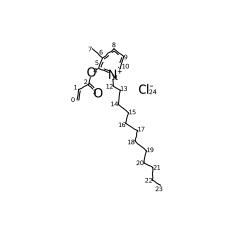 C=CC(=O)Oc1c(C)ccc[n+]1CCCCCCCCCCCC.[Cl-]